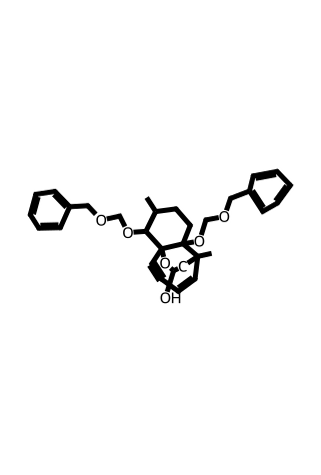 CC1CCC2(OCOCc3ccccc3)C3(C)C=CC#CC2(OC(O)C3)C1OCOCc1ccccc1